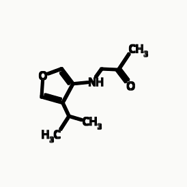 CC(=O)CNc1cocc1C(C)C